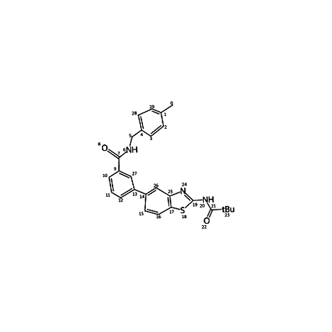 Cc1ccc(CNC(=O)c2cccc(-c3ccc4sc(NC(=O)C(C)(C)C)nc4c3)c2)cc1